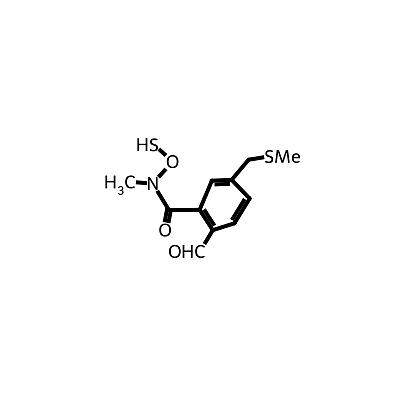 CSCc1ccc(C=O)c(C(=O)N(C)OS)c1